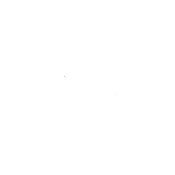 CON=Cc1cc(C)c([N+](=O)[O-])cc1C